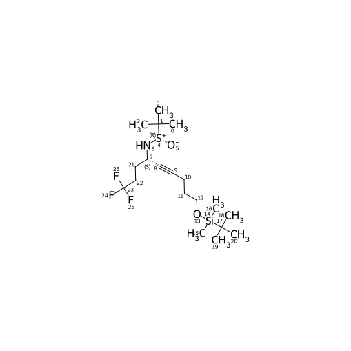 CC(C)(C)[S@+]([O-])N[C@H](C#CCCCO[Si](C)(C)C(C)(C)C)CCC(F)(F)F